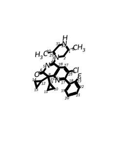 C[C@@H]1CN(C2=NC(=O)C(C3CC3)(C3CC3)c3nc(-c4ccccc4F)c(Cl)cc32)[C@@H](C)CN1